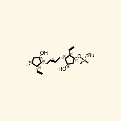 C=C[C@@H]1[C@@H](C/C=C/C[C@@H]2[C@@H](C=C)[C@H](O[Si](C)(C)C(C)(C)C)C[C@@H]2O)[C@@H](O)C[C@H]1C